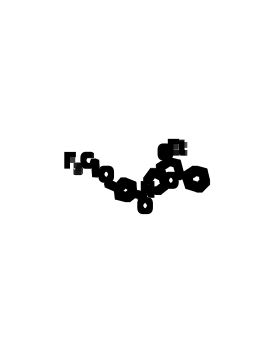 CCOC1CC(c2ccccc2)OC2(CCN(C(=O)c3ccc(COCCC(F)(F)F)cc3)CC2)C1